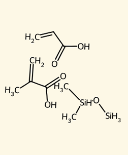 C=C(C)C(=O)O.C=CC(=O)O.C[SiH](C)O[SiH3]